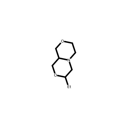 CCC1CN2CCOCC2CO1